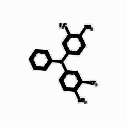 O=[N+]([O-])c1ccc(N(c2ccccc2)c2ccc([N+](=O)[O-])c(C(F)(F)F)c2)cc1C(F)(F)F